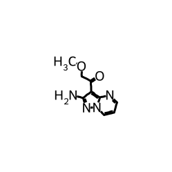 COCC(=O)c1c(N)nn2cccnc12